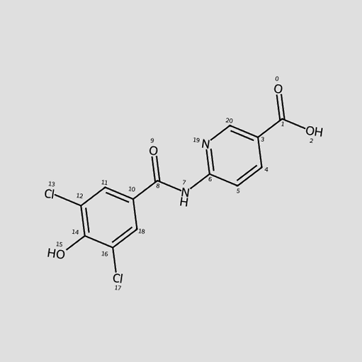 O=C(O)c1ccc(NC(=O)c2cc(Cl)c(O)c(Cl)c2)nc1